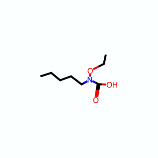 CCCCCN(OCC)C(=O)O